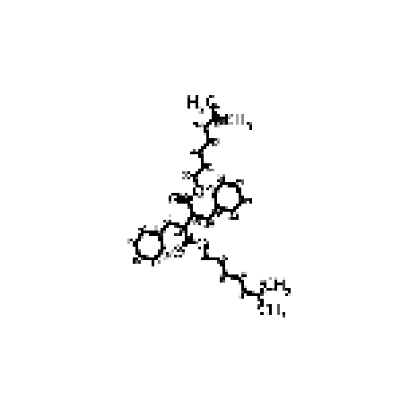 CC(C)CCCCCOC(=O)C(CC1CCCCC1)C(CC1CCCCC1)C(=O)OCCCCCC(C)C